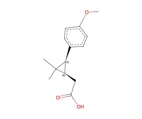 COc1ccc([C@H]2[C@@H](CC(=O)O)C2(C)C)cc1